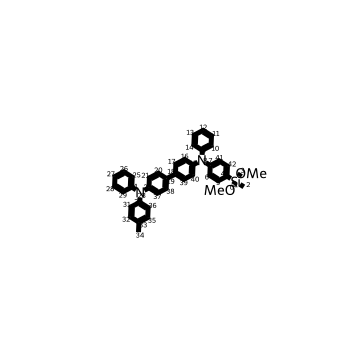 CO[Si](C)(OC)c1ccc(N(c2ccccc2)c2ccc(-c3ccc(N(c4ccccc4)c4ccc(C)cc4)cc3)cc2)cc1